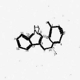 Cc1cccc([C@H](C)Cc2c[nH]c3ccccc23)c1